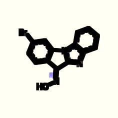 O/N=C1\c2ccc(Br)cc2-n2c1nc1ccccc12